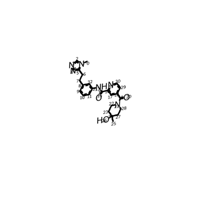 Cn1cnnc1CCc1cccc(NC(=O)c2cc(C(=O)N3CCC(C)(O)CC3)ccn2)c1